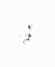 CC(C)COc1c(C(=O)N[C@H]2C3CC4CC2C[C@](O)(C4)C3)cnn1CCC1CCN(S(C)(=O)=O)CC1